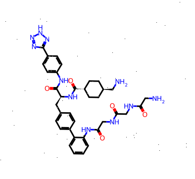 NCC(=O)NCC(=O)NCC(=O)Nc1ccccc1-c1ccc(C[C@H](NC(=O)[C@H]2CC[C@H](CN)CC2)C(=O)Nc2ccc(-c3nn[nH]n3)cc2)cc1